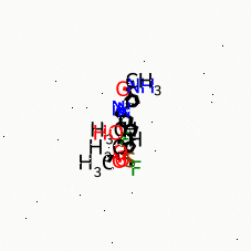 CCC(=O)O[C@]1(C(=O)SCF)CC[C@H]2[C@@H]3CCC4=Cc5c(cnn5-c5cccc(C(=O)NC)c5)C[C@]4(C)[C@@]3(F)[C@@H](O)C[C@@]21C